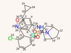 O=C(Nc1ccccc1F)N1C2CCC1CC(OCc1c(-c3c(Cl)cccc3Cl)noc1C1CC1)C2